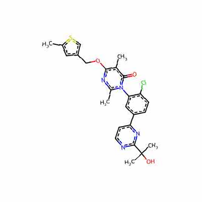 Cc1cc(COc2nc(C)n(-c3cc(-c4ccnc(C(C)(C)O)n4)ccc3Cl)c(=O)c2C)cs1